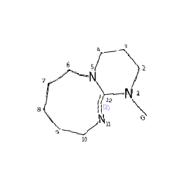 CN1CCCN2CCCCC/N=C/12